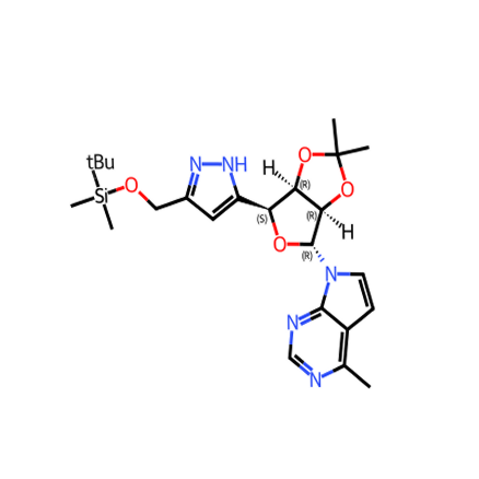 Cc1ncnc2c1ccn2[C@@H]1O[C@@H](c2cc(CO[Si](C)(C)C(C)(C)C)n[nH]2)[C@H]2OC(C)(C)O[C@H]21